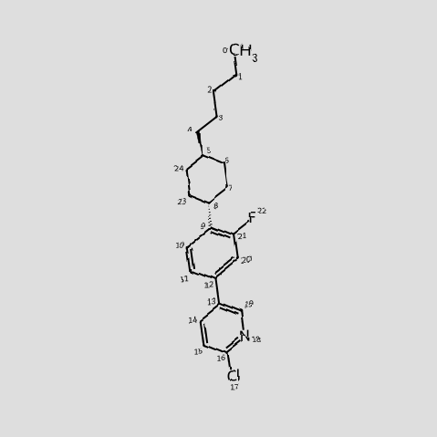 CCCCC[C@H]1CC[C@H](c2ccc(-c3ccc(Cl)nc3)cc2F)CC1